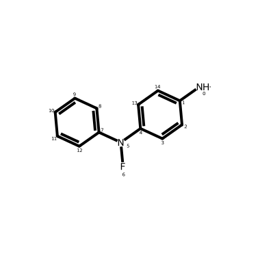 [NH]c1ccc(N(F)c2ccccc2)cc1